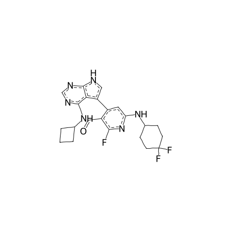 O=Cc1c(-c2c[nH]c3ncnc(NC4CCC4)c23)cc(NC2CCC(F)(F)CC2)nc1F